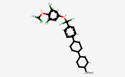 CCCCCC1CCC(C2CCC(c3ccc(C(F)(F)Oc4cc(F)c(OC(F)F)c(F)c4)cc3)CC2)CC1